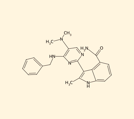 Cc1[nH]c2cccc(C(N)=O)c2c1-c1ncc(N(C)C)c(NCc2ccccc2)n1